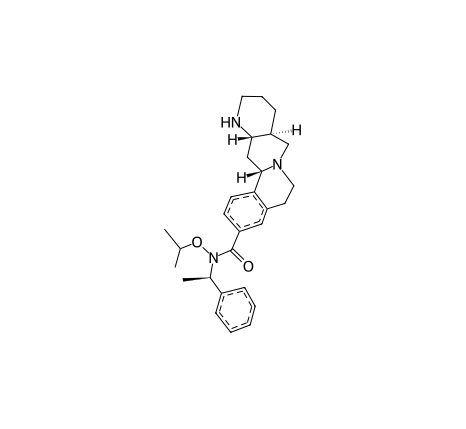 CC(C)ON(C(=O)c1ccc2c(c1)CCN1C[C@@H]3CCCN[C@H]3C[C@@H]21)[C@H](C)c1ccccc1